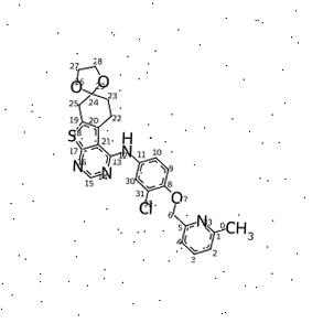 Cc1cccc(COc2ccc(Nc3ncnc4sc5c(c34)CCC3(C5)OCCO3)cc2Cl)n1